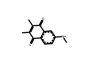 CNc1ccc2c(c1)C(=O)C(C)=C(C)C2=S